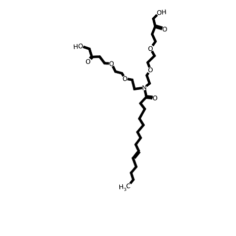 CCCC/C=C/CCCCCCCC(=O)N(CCOCCOCCC(=O)CO)CCOCCOCCC(=O)CO